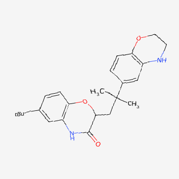 CC(C)(C)c1ccc2c(c1)NC(=O)C(CC(C)(C)c1ccc3c(c1)NCCO3)O2